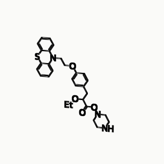 CCOC(Cc1ccc(OCCN2c3ccccc3Sc3ccccc32)cc1)C(=O)ON1CCNCC1